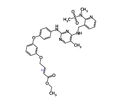 CCOC(=O)/C=C/COc1cccc(Oc2ccc(Nc3ncc(C)c(NCc4cccnc4N(C)S(C)(=O)=O)n3)cc2)c1